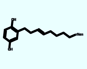 CCCCCCCCCCCCCC=CCCc1cc(O)ccc1O